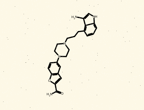 NC(=O)c1cc2cc(N3CCN(CCCc4cccc5[nH]cc(N)c45)CC3)ccc2o1